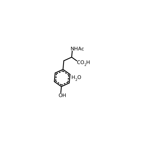 CC(=O)NC(Cc1ccc(O)cc1)C(=O)O.O